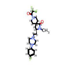 CN1C(=O)C2(CCN(C(=O)C(F)F)CC2)C[C@@H]1CCN1CCN(c2ccc(F)cc2)CC1